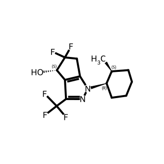 C[C@H]1CCCC[C@H]1n1nc(C(F)(F)F)c2c1CC(F)(F)[C@H]2O